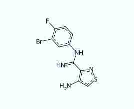 N=C(Nc1ccc(F)c(Br)c1)c1nscc1N